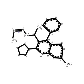 C/N=N\NC(C)c1c(C2CCCC2)nc2cc(OC)ccc2c1-c1ccccc1